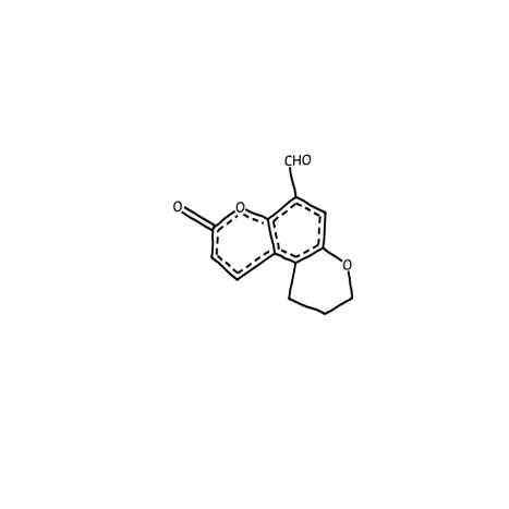 O=Cc1cc2c(c3ccc(=O)oc13)CCCO2